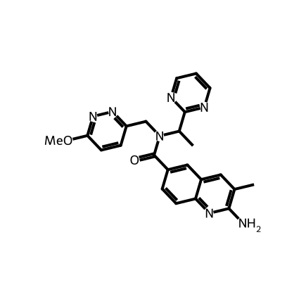 COc1ccc(CN(C(=O)c2ccc3nc(N)c(C)cc3c2)C(C)c2ncccn2)nn1